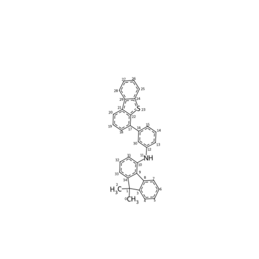 CC1(C)c2ccccc2-c2c(Nc3cccc(-c4cccc5c4sc4ccccc45)c3)cccc21